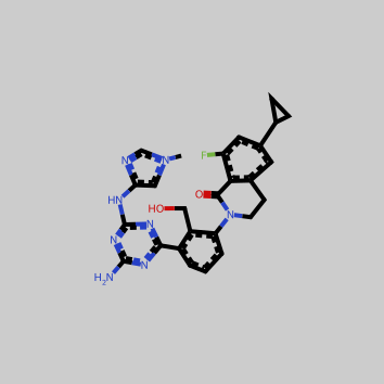 Cn1cnc(Nc2nc(N)nc(-c3cccc(N4CCc5cc(C6CC6)cc(F)c5C4=O)c3CO)n2)c1